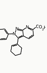 O=C(O)c1ccc2c(C3=CCCCC3)n(-c3ccccc3)nc2n1